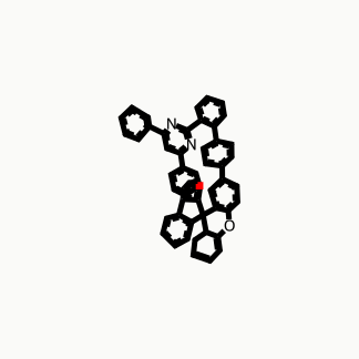 C1=CCC2C(=C1)Oc1ccc(-c3ccc(-c4ccccc4-c4nc(-c5ccccc5)cc(-c5ccccc5)n4)cc3)cc1C21c2ccccc2-c2ccccc21